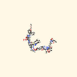 C/C=C\C(=O)N(C=O)CCCCCC(=O)N[C@H](C(=O)N[C@@H](C)C(=O)Nc1ccc(COC(=O)N(C)CCN(C)c2cc3c(c(C(=O)Nc4nc5ccccc5s4)c2)CN(c2ccc(/C(C=N)=C(\C)NCC45CCCC(OCCOC)(CC(C)(CCC)C4)C5)c(C(=O)O)n2)CC3)cc1)C(C)C